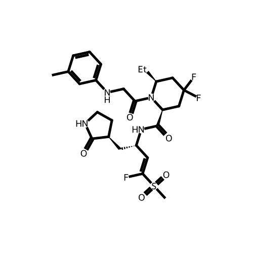 CC[C@H]1CC(F)(F)C[C@@H](C(=O)N[C@H](/C=C(\F)S(C)(=O)=O)C[C@@H]2CCNC2=O)N1C(=O)CNc1cccc(C)c1